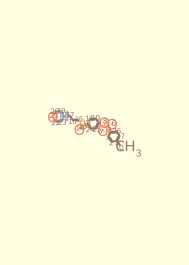 Cc1ccc(S(=O)(=O)Oc2ccc([S+]([O-])CCCN3CCOCC3)cc2)cc1